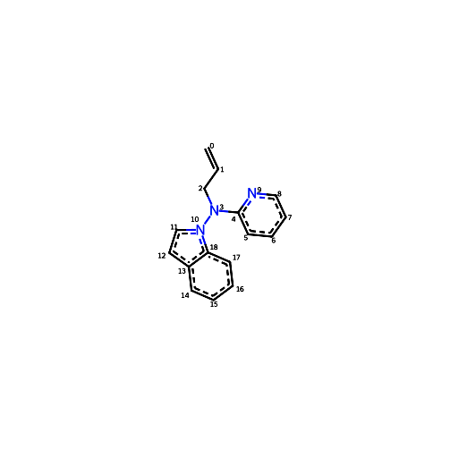 C=CCN(c1ccccn1)n1ccc2ccccc21